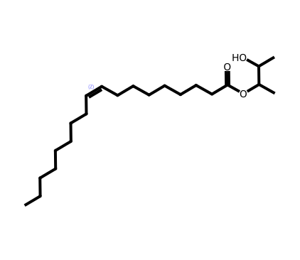 CCCCCCCC/C=C\CCCCCCCC(=O)OC(C)C(C)O